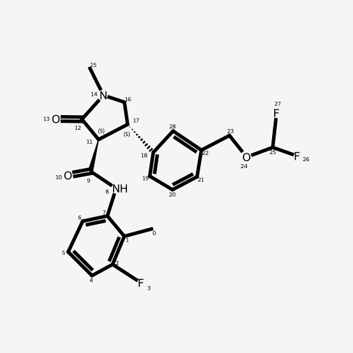 Cc1c(F)cccc1NC(=O)[C@H]1C(=O)N(C)C[C@@H]1c1cccc(COC(F)F)c1